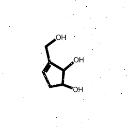 OCC1=CCC(O)C1O